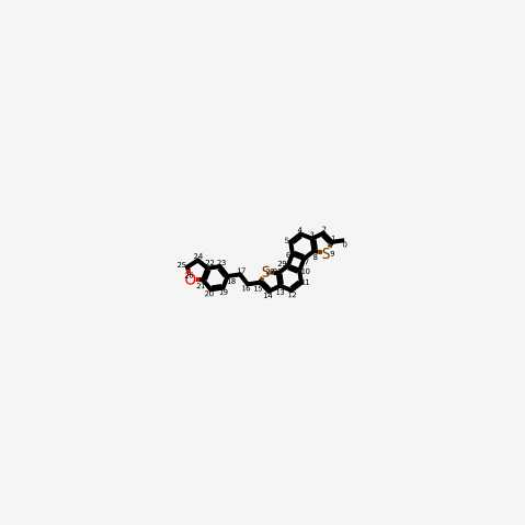 Cc1cc2ccc3c(c2s1)-c1ccc2cc(CCc4ccc5c(c4)CCO5)sc2c1-3